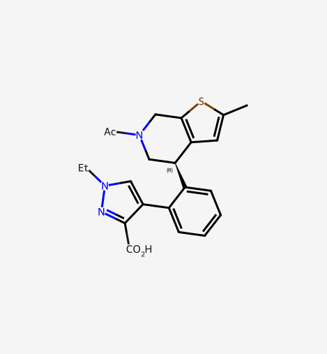 CCn1cc(-c2ccccc2[C@H]2CN(C(C)=O)Cc3sc(C)cc32)c(C(=O)O)n1